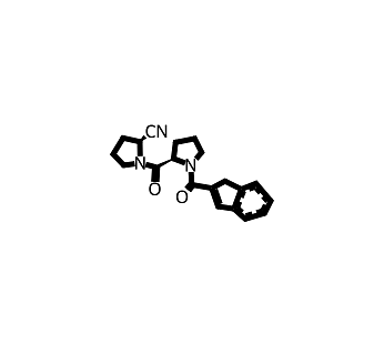 N#C[C@@H]1CCCN1C(=O)[C@H]1CCCN1C(=O)C1=Cc2ccccc2C1